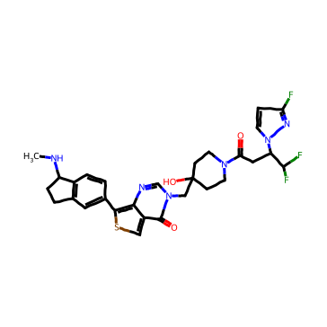 CNC1CCc2cc(-c3scc4c(=O)n(CC5(O)CCN(C(=O)CC(C(F)F)n6ccc(F)n6)CC5)cnc34)ccc21